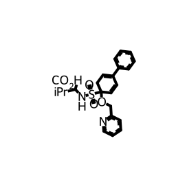 CC(C)C(NS(=O)(=O)C1(OCc2ccccn2)C=CC(c2ccccc2)=CC1)C(=O)O